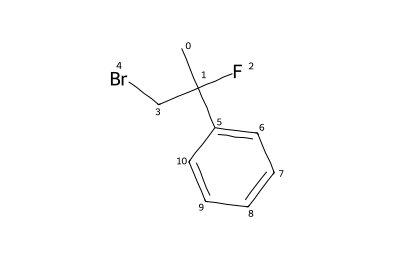 CC(F)(CBr)c1ccccc1